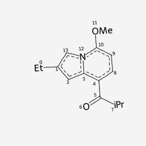 CCc1cc2c(C(=O)C(C)C)ccc(OC)n2c1